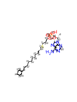 C[C@H](Cn1cnc2c(N)ncnc21)OCP(=O)(O)OCCCSCCCCCCCCCCCCc1ccccc1